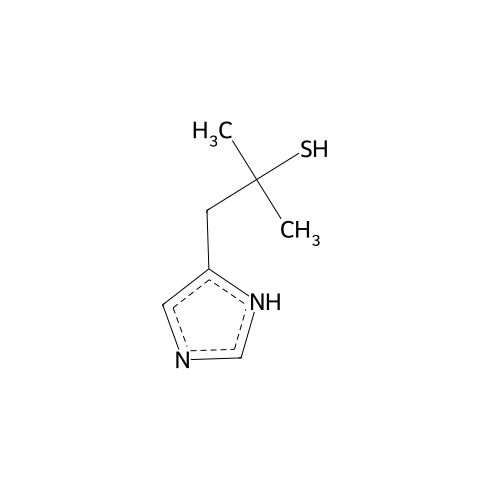 CC(C)(S)Cc1cnc[nH]1